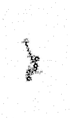 CCCNC(=O)CCOCCOCCNC(=O)Cn1c(=O)n(-c2ccc(C[C@H](NC(=O)[C@H]3N(S(=O)(=O)c4cccnc4)CSC3(C)C)C(=O)O)cc2)c2ncccc21